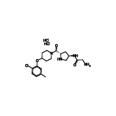 Cc1ccc(Cl)c(OC2CCN(C(=O)[C@@H]3C[C@@H](NC(=O)CN)CN3)CC2)c1.Cl.Cl